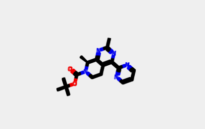 Cc1nc(-c2ncccn2)c2c(n1)[C@H](C)N(C(=O)OC(C)(C)C)CC2